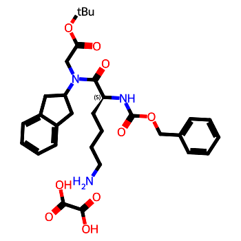 CC(C)(C)OC(=O)CN(C(=O)[C@H](CCCCN)NC(=O)OCc1ccccc1)C1Cc2ccccc2C1.O=C(O)C(=O)O